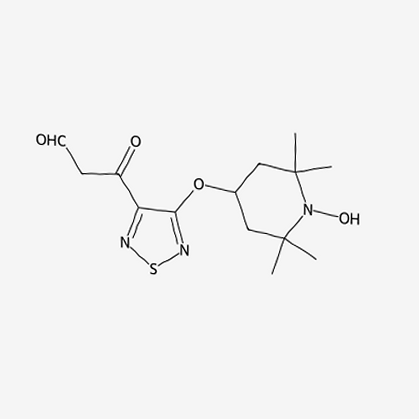 CC1(C)CC(Oc2nsnc2C(=O)CC=O)CC(C)(C)N1O